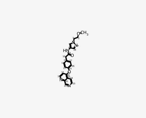 COCCn1cc(NC(=O)Cc2ccc(Oc3ccnc4cnccc34)cc2)cn1